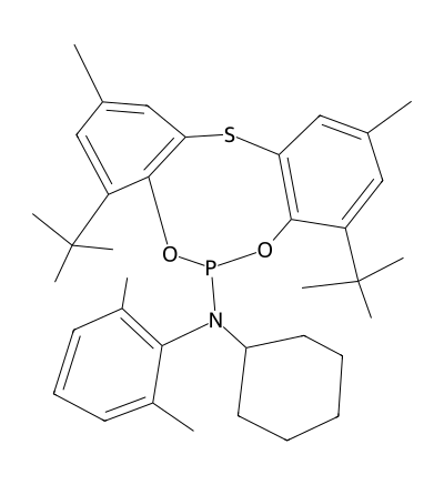 Cc1cc2c(c(C(C)(C)C)c1)OP(N(c1c(C)cccc1C)C1CCCCC1)Oc1c(cc(C)cc1C(C)(C)C)S2